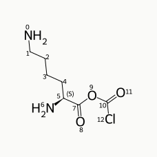 NCCCC[C@H](N)C(=O)OC(=O)Cl